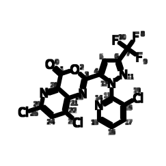 O=c1oc(-c2cc(C(F)(F)F)nn2-c2ncccc2Cl)nc2c(Cl)cc(Cl)nc12